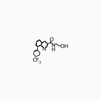 O=C(NCCO)c1cnc2c(C3=CC[C@@H](C(F)(F)F)CC3)cccc2c1